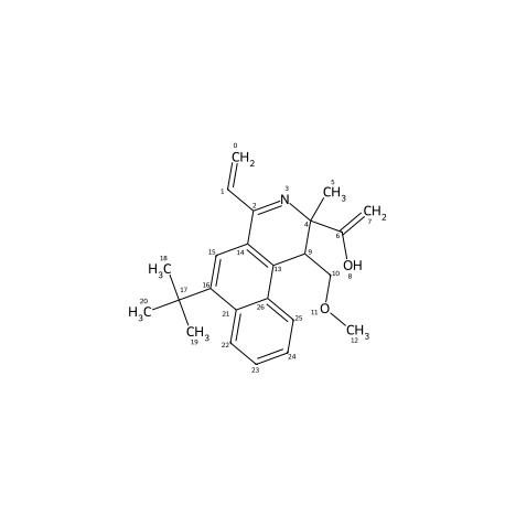 C=CC1=NC(C)(C(=C)O)C(COC)c2c1cc(C(C)(C)C)c1ccccc21